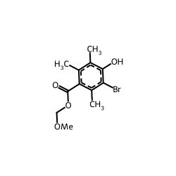 COCOC(=O)c1c(C)c(C)c(O)c(Br)c1C